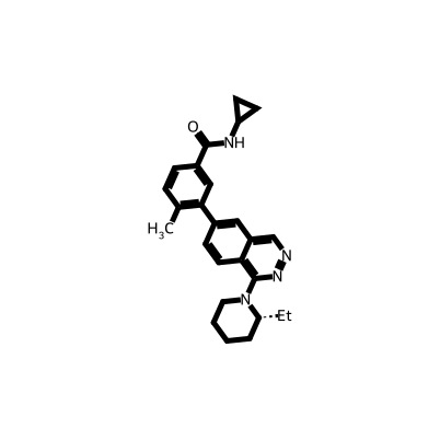 CC[C@@H]1CCCCN1c1nncc2cc(-c3cc(C(=O)NC4CC4)ccc3C)ccc12